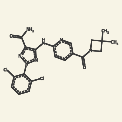 CC1(C)CN(C(=O)c2ccc(Nc3nn(-c4c(Cl)cccc4Cl)nc3C(N)=O)nc2)C1